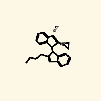 CCCCC1=Cc2ccccc2C1C1[C]([Hf+2]2[CH2][CH2]2)=Cc2ccccc21.[Cl-].[Cl-]